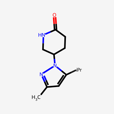 Cc1cc(C(C)C)n(C2CCC(=O)NC2)n1